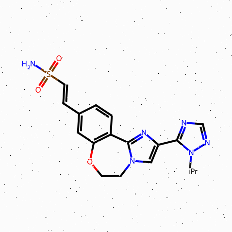 CC(C)n1ncnc1-c1cn2c(n1)-c1ccc(C=CS(N)(=O)=O)cc1OCC2